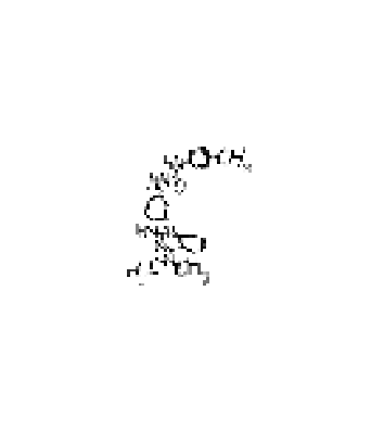 Cc1ccc(NC(=O)N[C@H]2CC[C@@H](Nc3nc(N(C)C)c4ccccc4n3)CC2)cc1